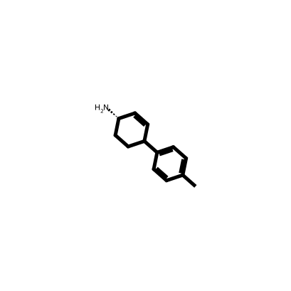 Cc1ccc(C2C=C[C@@H](N)CC2)cc1